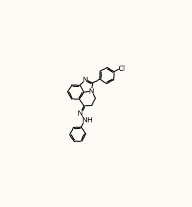 Clc1ccc(-c2nc3cccc4c3n2CCC4=NNc2ccccc2)cc1